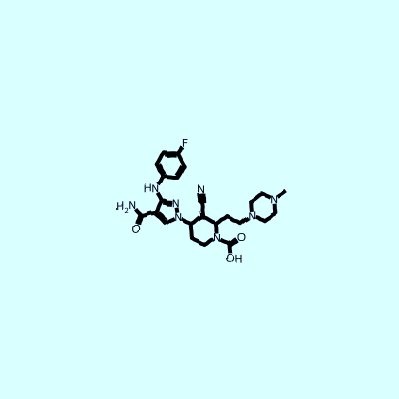 CN1CCN(CCC2C(C#N)C(n3cc(C(N)=O)c(Nc4ccc(F)cc4)n3)CCN2C(=O)O)CC1